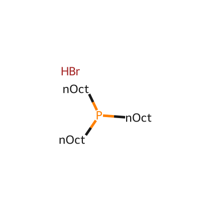 Br.CCCCCCCCP(CCCCCCCC)CCCCCCCC